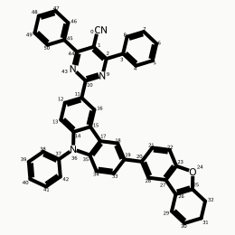 N#Cc1c(-c2ccccc2)nc(-c2ccc3c(c2)c2cc(-c4ccc5oc6c(c5c4)C=CCC6)ccc2n3-c2ccccc2)nc1-c1ccccc1